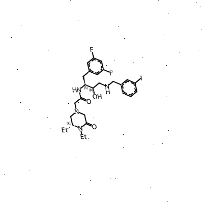 CC[C@@H]1CN(CC(=O)N[C@@H](Cc2cc(F)cc(F)c2)[C@H](O)CNCc2cccc(I)c2)CC(=O)N1CC